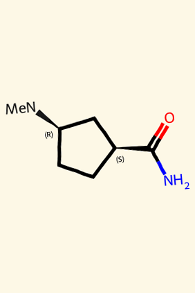 CN[C@@H]1CC[C@H](C(N)=O)C1